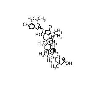 CC(C)CCN(Cc1ccc(Cl)cc1)C[C@@H](O)[C@@]12CC[C@]3(C)[C@H](CC[C@@H]4[C@@]5(C)CC[C@H](OC(=O)CC(C)(C)CC(=O)O)C(C)(C)[C@@H]5CC[C@]43C)C1=C(C(C)C)C(=O)C2